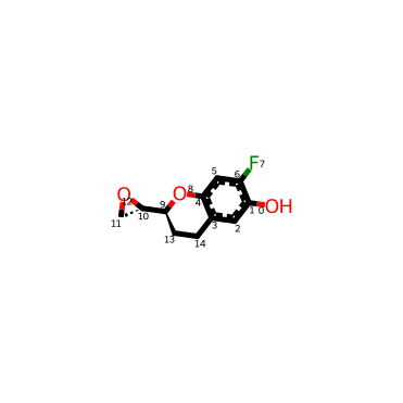 Oc1cc2c(cc1F)O[C@H]([C@@H]1CO1)CC2